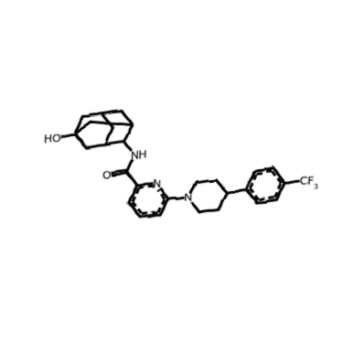 O=C(NC1C2CC3CC1CC(O)(C3)C2)c1cccc(N2CCC(c3ccc(C(F)(F)F)cc3)CC2)n1